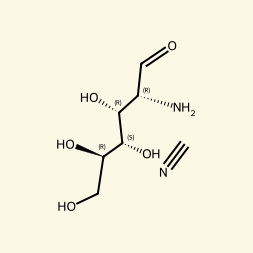 C#N.N[C@@H](C=O)[C@@H](O)[C@H](O)[C@H](O)CO